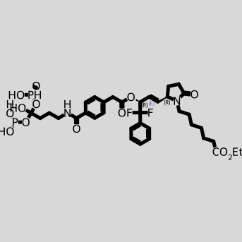 CCOC(=O)CCCCCCN1C(=O)CC[C@@H]1/C=C/[C@@H](OC(=O)Cc1ccc(C(=O)NCCCC(O)(OP(O)O)O[PH](=O)O)cc1)C(F)(F)c1ccccc1